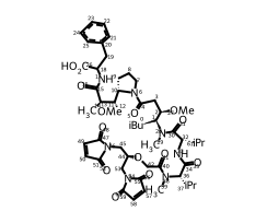 CC[C@H](C)[C@@H]([C@@H](CC(=O)N1CCC[C@H]1[C@H](OC)[C@@H](C)C(=O)NC(Cc1ccccc1)C(=O)O)OC)N(C)C(=O)[C@@H](NC(=O)[C@H](C(C)C)N(C)C(=O)COC(CN1C(=O)C=CC1=O)CN1C(=O)C=CC1=O)C(C)C